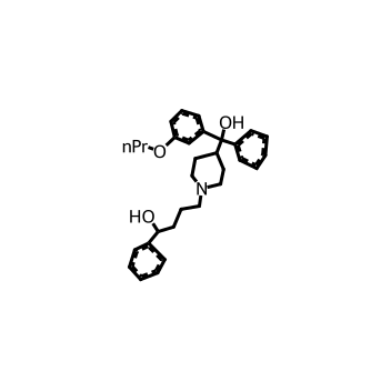 CCCOc1cccc(C(O)(c2ccccc2)C2CCN(CCCC(O)c3ccccc3)CC2)c1